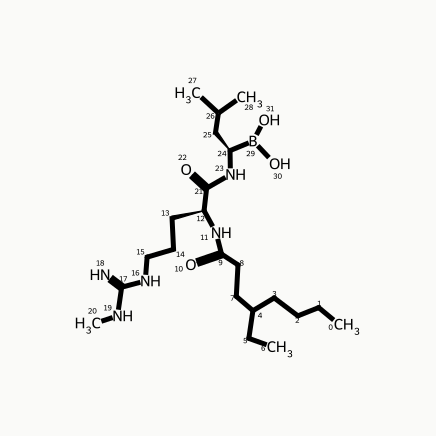 CCCCC(CC)CCC(=O)N[C@@H](CCCNC(=N)NC)C(=O)N[C@@H](CC(C)C)B(O)O